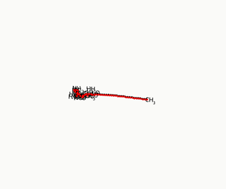 CCCCCCCCCCCCCCCCCCCCCCCCCCCCCCCCCCCCCCCCCCCCCCCC(=O)SCCNC(=O)CCNC(=O)[C@H](O)C(C)(C)COP(=O)(O)OP(=O)(O)OC[C@H]1O[C@@H](n2cnc3c(N)ncnc32)[C@H](O)[C@@H]1OP(=O)(O)O